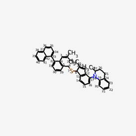 CC(C)=Cc1c(CSC2C(C)=Cc3c2cccc3N2c3ccccc3CCC2C)cccc1-c1cccc2ccccc12